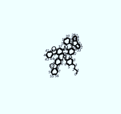 CCCCc1ccc(N2B3c4cccc5c4N(c4ccccc4C54c5ccccc5-c5ccccc54)c4cc5oc6ccccc6c5c(c43)-c3cc4oc5ccccc5c4cc32)cc1